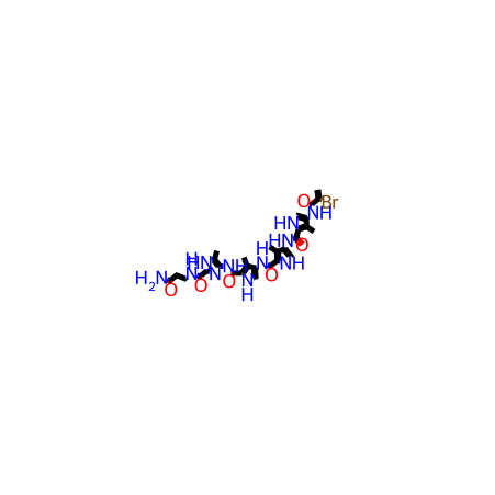 C=C(Br)C(=O)Nc1c[nH]c(C(=O)Nc2c[nH]c(C(=O)Nc3c[nH]c(C(=O)Nc4nc(C(=O)NCCC(N)=O)[nH]c4C)c3C)c2C)c1C